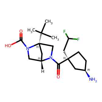 CC(C)(C)[C@]12C[C@@H](CN1C(=O)O)N(C(=O)[C@@]1(CC(F)F)CC[C@@H](N)C1)C2